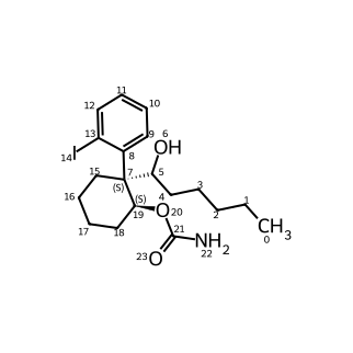 CCCCCC(O)[C@@]1(c2ccccc2I)CCCC[C@@H]1OC(N)=O